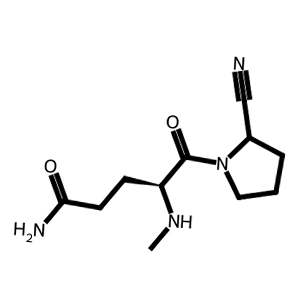 CN[C@@H](CCC(N)=O)C(=O)N1CCCC1C#N